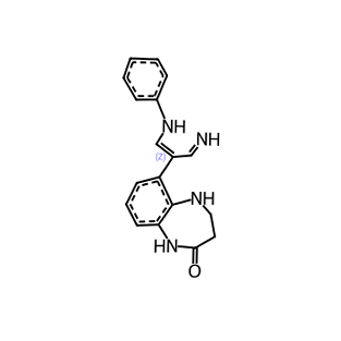 N=C/C(=C\Nc1ccccc1)c1cccc2c1NCCC(=O)N2